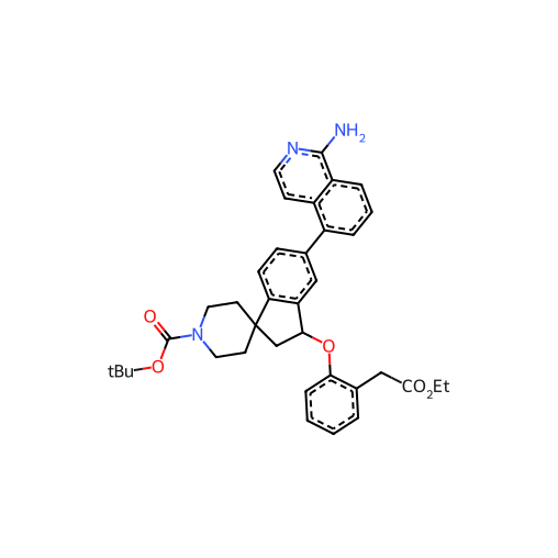 CCOC(=O)Cc1ccccc1OC1CC2(CCN(C(=O)OC(C)(C)C)CC2)c2ccc(-c3cccc4c(N)nccc34)cc21